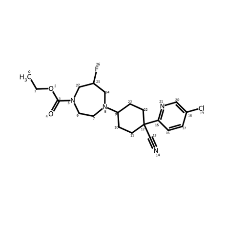 CCOC(=O)N1CCN(C2CCC(C#N)(c3ccc(Cl)cn3)CC2)CC(F)C1